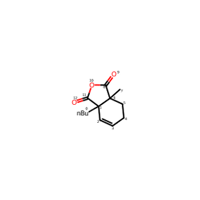 CCCCC12C=CCCC1(C)C(=O)OC2=O